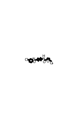 COCc1ccc(C(=O)NC2CC3(C2)CC(c2nc4cc(Cl)ccc4o2)C3)o1